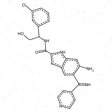 N=C(c1ccncc1)c1cc2nc(C(=O)NC(CO)c3cccc(Cl)c3)[nH]c2cc1N